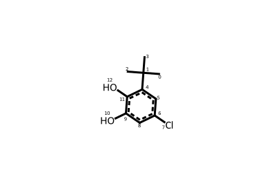 CC(C)(C)c1cc(Cl)cc(O)c1O